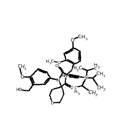 COc1ccc(CNC(=O)C2(N(C(=O)C#C[Si](C(C)C)(C(C)C)C(C)C)c3ccc(OC)c(CO)c3)CCOCC2)c(OC)c1